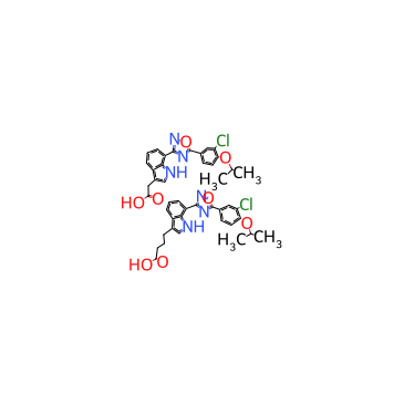 CC(C)Oc1ccc(-c2nc(-c3cccc4c(CC(=O)O)c[nH]c34)no2)cc1Cl.CC(C)Oc1ccc(-c2nc(-c3cccc4c(CCCC(=O)O)c[nH]c34)no2)cc1Cl